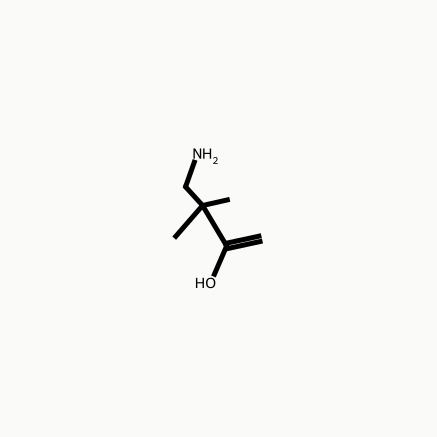 C=C(O)C(C)(C)CN